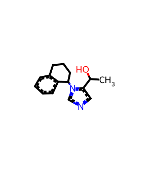 CC(O)c1cncn1C1CCCc2ccccc21